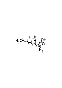 C=CCCCCCNCC(C)CC(=O)O.Cl